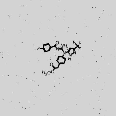 COC(=O)Cc1ccc(N(C(N)=NC(=O)c2ccc(F)cc2)c2cc(C(F)(F)F)n[nH]2)cc1